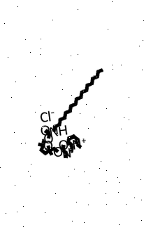 CCCCCCCCCCCCCCCCCCNC(=O)OCC1(C)CCC(C)(COC(=O)N(C)Cc2cccc[n+]2C)O1.[Cl-]